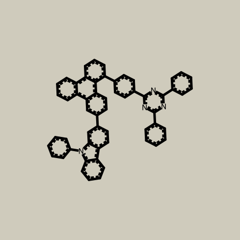 c1ccc(-c2nc(-c3ccccc3)nc(-c3ccc(-c4cccc5c6ccccc6c6cc(-c7ccc8c9ccccc9n(-c9ccccc9)c8c7)ccc6c45)cc3)n2)cc1